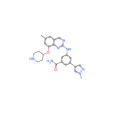 Cc1cc(OC2CCNCC2)c2nc(Nc3cc(C(N)=O)cc(-c4cnn(C)c4)c3)ncc2c1